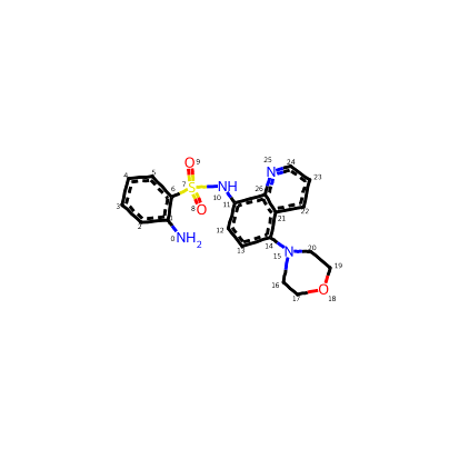 Nc1ccccc1S(=O)(=O)Nc1ccc(N2CCOCC2)c2cccnc12